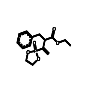 C=C(C(Cc1ccccc1)C(=O)OCC)P1(=O)OCCO1